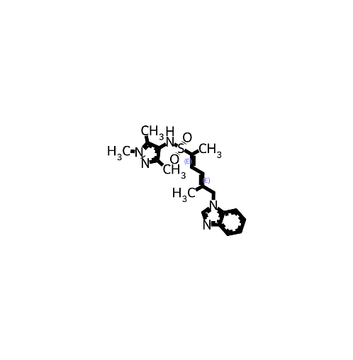 C/C(=C\C=C(/C)S(=O)(=O)Nc1c(C)nn(C)c1C)Cn1cnc2ccccc21